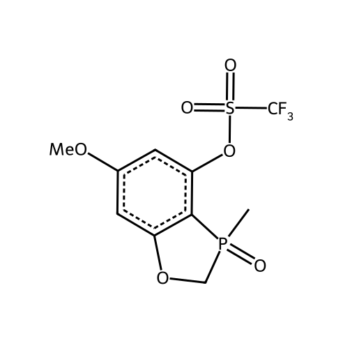 COc1cc2c(c(OS(=O)(=O)C(F)(F)F)c1)P(C)(=O)CO2